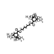 CC1(C)CC(C(=O)OCCCCCCOC(=O)C2CC(C)(C)NC(C)(C)C2)CC(C)(C)N1